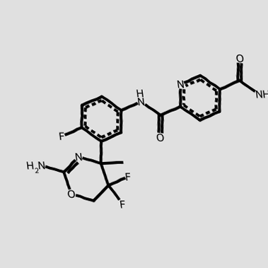 CC1(c2cc(NC(=O)c3ccc(C(N)=O)cn3)ccc2F)N=C(N)OCC1(F)F